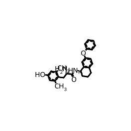 Cc1cc(O)cc(C)c1C[C@H](N)C(=O)N[C@@H]1CCCc2ccc(Oc3ccccc3)cc21